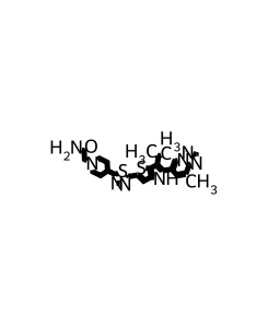 Cc1cc(-c2[nH]c3cc(-c4nnc(C5CCN(CC(N)=O)CC5)s4)sc3c2C(C)C)cn2ncnc12